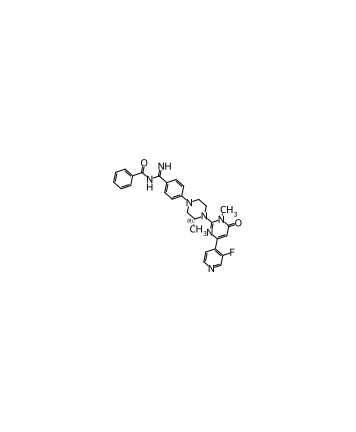 C[C@@H]1CN(c2ccc(C(=N)NC(=O)c3ccccc3)cc2)CCN1c1nc(-c2ccncc2F)cc(=O)n1C